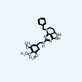 COc1cc(CNc2nc3c4c(n2)N(Cc2ccccc2)CCC4NN3)cc(OC)c1OC